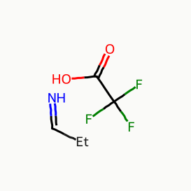 CCC=N.O=C(O)C(F)(F)F